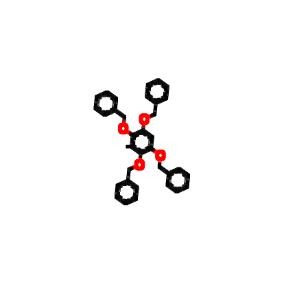 [c]1c(OCc2ccccc2)c(OCc2ccccc2)cc(OCc2ccccc2)c1OCc1ccccc1